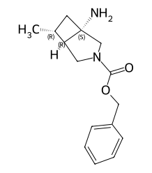 C[C@@H]1C[C@@]2(N)CN(C(=O)OCc3ccccc3)C[C@@H]12